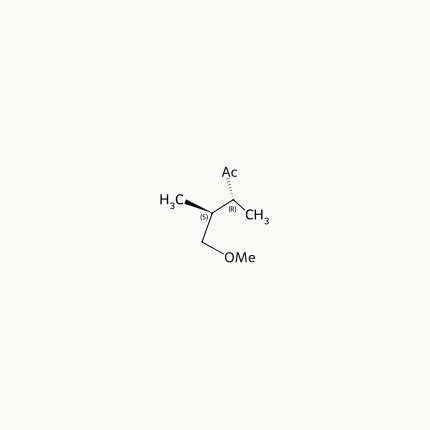 COC[C@@H](C)[C@@H](C)C(C)=O